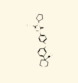 Cc1nn(-c2ccc(Sc3cccc(C4(C#N)CCOCC4)c3)cc2)c(=O)n1C1CCCC1